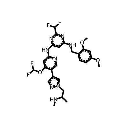 CNC(C)Cn1cc(-c2cnc(Nc3cc(NCc4ccc(OC)cc4OC)nc(C(F)F)n3)cc2OC(F)F)cn1